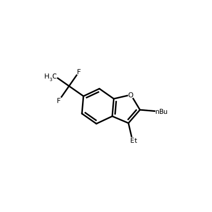 CCCCc1oc2cc(C(C)(F)F)ccc2c1CC